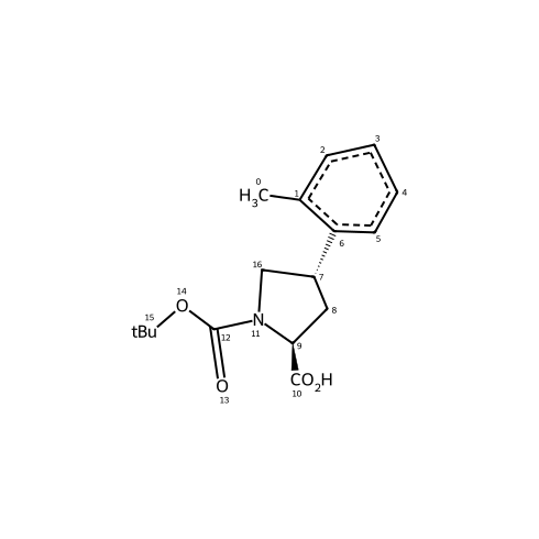 Cc1ccccc1[C@@H]1C[C@@H](C(=O)O)N(C(=O)OC(C)(C)C)C1